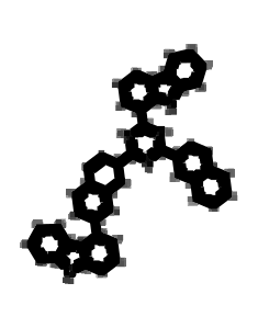 C1=CC(c2nc(-c3ccc4ccccc4c3)nc(-c3cccc4c3sc3ccccc34)n2)Cc2cc(-c3cccc4oc5ccccc5c34)ccc21